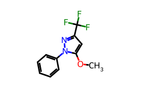 COc1cc(C(F)(F)F)nn1-c1ccccc1